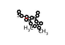 Cc1ccc(C2(c3ccc(C)cc3)c3ccccc3-c3cc(N(c4ccc(-c5ccc(-c6ccc7sc8ccccc8c7c6)cc5)c(N(c5ccccc5)c5ccccc5)c4)c4ccc5ccccc5c4)ccc32)cc1